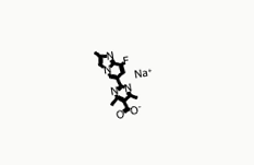 Cc1cn2cc(-c3nc(C)c(C(=O)[O-])c(C)n3)cc(F)c2n1.[Na+]